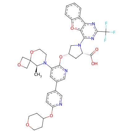 C[C@@H]1N(c2cc(-c3ccc(OC4CCOCC4)nc3)cnc2O[C@H]2C[C@@H](C(=O)O)N(c3nc(C(F)(F)F)nc4c3oc3ccccc34)C2)CCOC12COC2